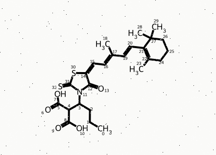 CCCC(C(C(=O)O)C(=O)O)N1C(=O)\C(=C/C=C(C)/C=C/C2=C(C)CCCC2(C)C)SC1=S